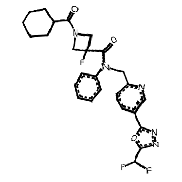 O=C(C1CCCCC1)N1CC(F)(C(=O)N(Cc2ccc(-c3nnc(C(F)F)o3)cn2)c2ccccc2)C1